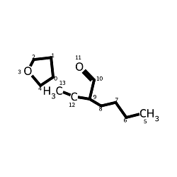 C1CCOC1.CCCCC(C=O)CC